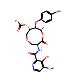 COc1ccc(O[C@H]2[C@H](C)OC(=O)[C@@H](NC(=O)c3nccc(OC)c3O)COC[C@@H]2OC(=O)C(C)C)cc1